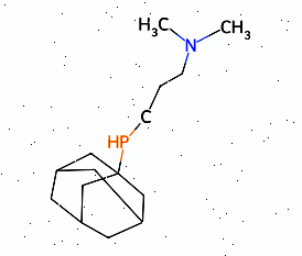 CN(C)CCCPC12CC3CC(CC(C3)C1)C2